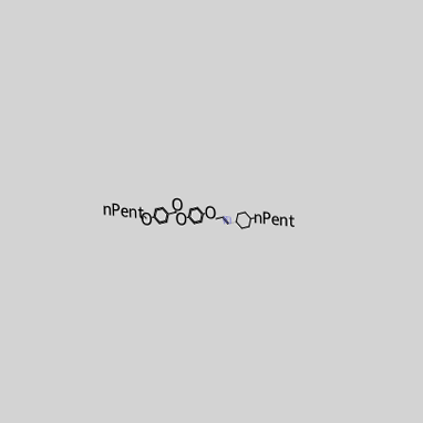 CCCCCOc1ccc(C(=O)Oc2ccc(OC/C=C/[C@H]3CC[C@H](CCCCC)CC3)cc2)cc1